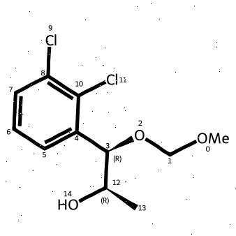 COCO[C@H](c1cccc(Cl)c1Cl)[C@@H](C)O